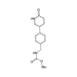 CC(C)(C)OC(=O)NCc1ccc(-c2ccc(=O)[nH]c2)cc1